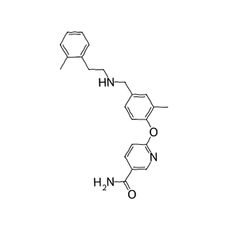 Cc1ccccc1CCNCc1ccc(Oc2ccc(C(N)=O)cn2)c(C)c1